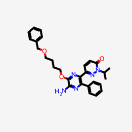 CC(C)n1nc(-c2nc(OCCCCOCc3ccccc3)c(N)nc2-c2ccccc2)ccc1=O